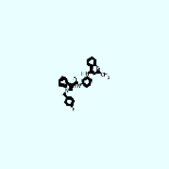 O=C(N[C@@H]1CCC[C@H](Nc2cc(C(F)(F)F)nc3ccccc23)C1)c1cn(Cc2ccc(F)cc2)c2ccccc12